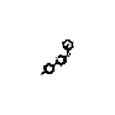 Cc1ccc(-c2ccc(OC3CN4CCC3CC4)cn2)cc1